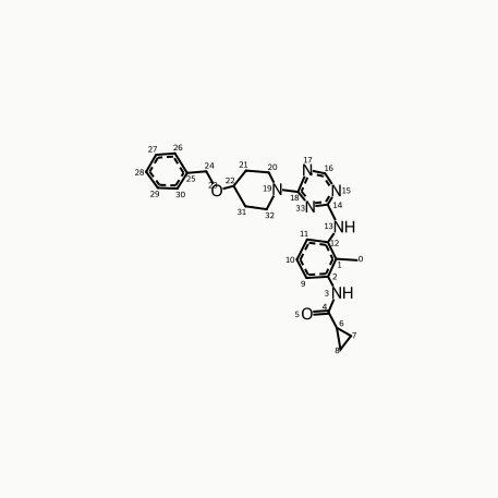 Cc1c(NC(=O)C2CC2)cccc1Nc1ncnc(N2CCC(OCc3ccccc3)CC2)n1